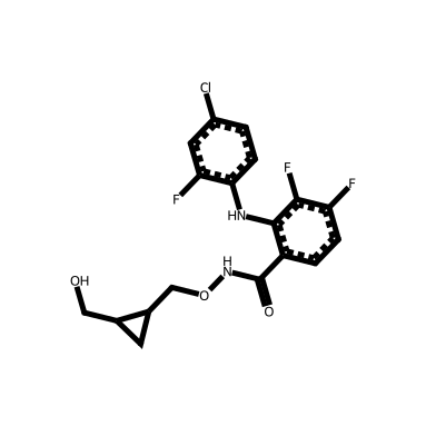 O=C(NOCC1CC1CO)c1ccc(F)c(F)c1Nc1ccc(Cl)cc1F